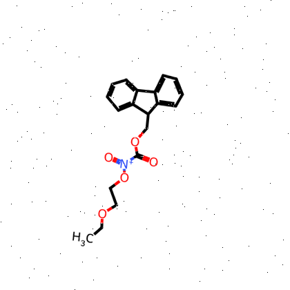 CCOCCO[N+](=O)C(=O)OCC1c2ccccc2-c2ccccc21